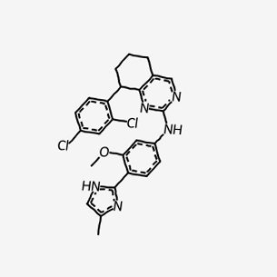 COc1cc(Nc2ncc3c(n2)C(c2ccc(Cl)cc2Cl)CCC3)ccc1-c1nc(C)c[nH]1